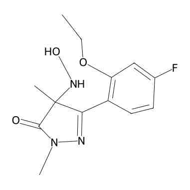 CCOc1cc(F)ccc1C1=NN(C)C(=O)C1(C)NO